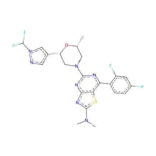 C[C@@H]1CN(c2nc(-c3ccc(F)cc3F)c3sc(N(C)C)nc3n2)C[C@H](c2cnn(C(F)F)c2)O1